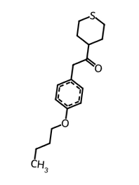 CCCCOc1ccc(CC(=O)C2CCSCC2)cc1